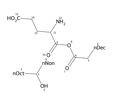 CCCCCCCCCC(O)CCCCCCCC.CCCCCCCCCCCC(=O)OC(=O)C(N)CCC(=O)O